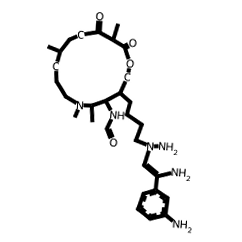 CC1CCCN(C)C(C)C(NC=O)C(CCCCN(N)/C=C(\N)c2cccc(N)c2)COC(=O)C(C)C(=O)CC1